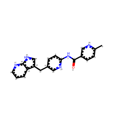 Cc1ccc(C(=O)Nc2ccc(Cc3c[nH]c4ncccc34)cn2)cn1